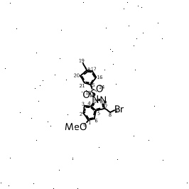 COc1ccc2c(c1)c(CBr)nn2S(=O)(=O)c1ccc(C)cc1